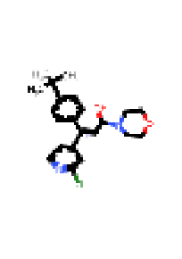 CC(C)(C)c1ccc(/C(=C\C(O)N2CCOCC2)c2ccnc(Cl)c2)cc1